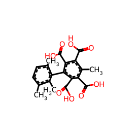 Cc1ccc(C)c(-c2c(C(=O)O)c(C(=O)O)c(C)c(C(=O)O)c2C(=O)O)c1C